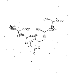 CC1OC(=O)C(C)OC1=O.CCCCC(CC)C(=O)[O-].CCCCC(CC)C(=O)[O-].CCCCC(CC)C(=O)[O-].CCCCC(CC)C(=O)[O-].[Sn+4]